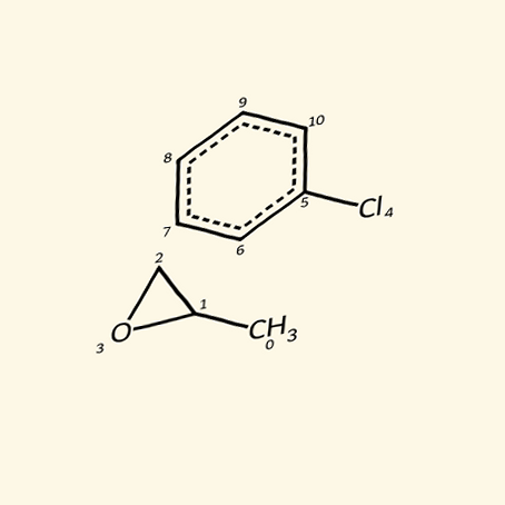 CC1CO1.Clc1ccccc1